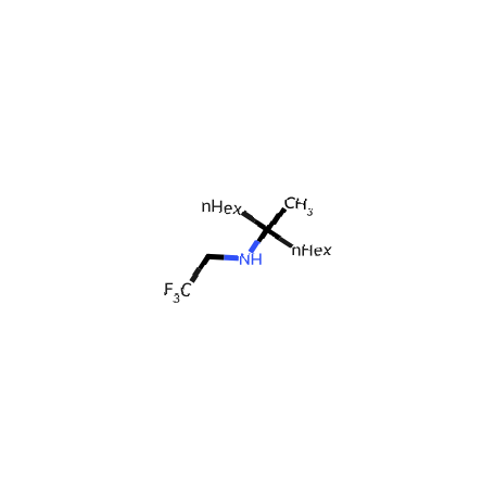 CCCCCCC(C)(CCCCCC)NCC(F)(F)F